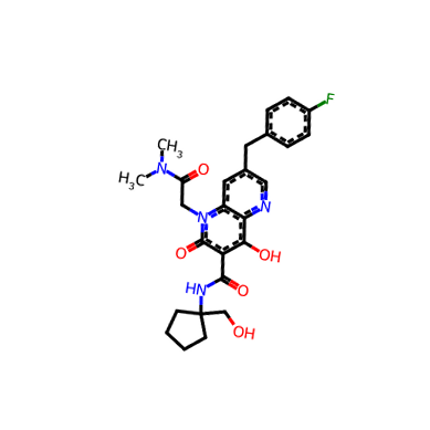 CN(C)C(=O)Cn1c(=O)c(C(=O)NC2(CO)CCCC2)c(O)c2ncc(Cc3ccc(F)cc3)cc21